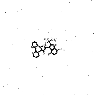 Cc1ccc(F)c2c(-c3nc4c5cccnc5c5ncccc5c4[nH]3)c(C(C)(C)C)[nH]c12